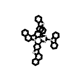 c1ccc2cc3c(cc2c1)c1c2ccccc2ccc1n3-c1cc2oc3c4ccccc4ccc3c2cc1-c1nc(-c2ccc3c(c2)sc2ccccc23)nc(-n2c3ccccc3c3ccccc32)n1